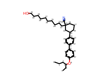 CCCC(CC)Oc1ccc(-c2ccc(C3CCCC(C#N)(CCCCCCCCCCO)C3)cc2)cc1